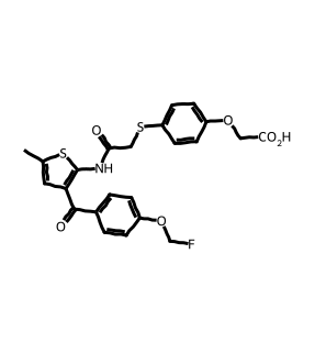 Cc1cc(C(=O)c2ccc(OCF)cc2)c(NC(=O)CSc2ccc(OCC(=O)O)cc2)s1